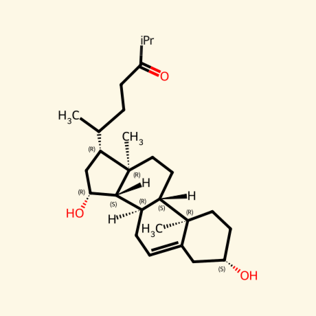 CC(C)C(=O)CCC(C)[C@H]1C[C@@H](O)[C@H]2[C@@H]3CC=C4C[C@@H](O)CC[C@]4(C)[C@H]3CC[C@@]21C